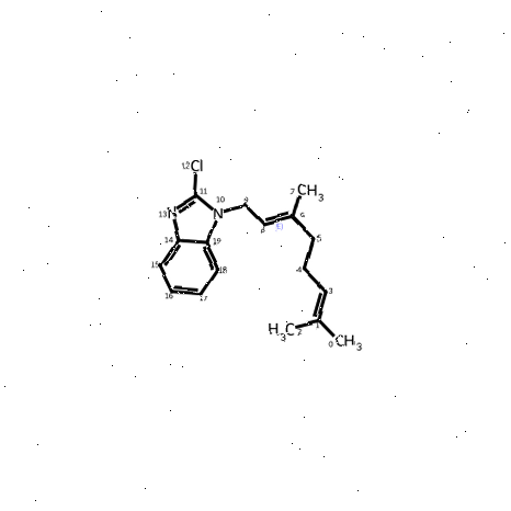 CC(C)=CCC/C(C)=C/Cn1c(Cl)nc2ccccc21